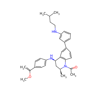 C=C(OC)c1ccc(N[C@@H]2C[C@H](C)N(C(C)=O)c3ccc(-c4cccc(NCCC(C)C)c4)cc32)cc1